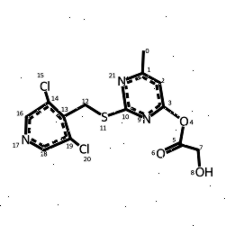 Cc1cc(OC(=O)CO)nc(SCc2c(Cl)cncc2Cl)n1